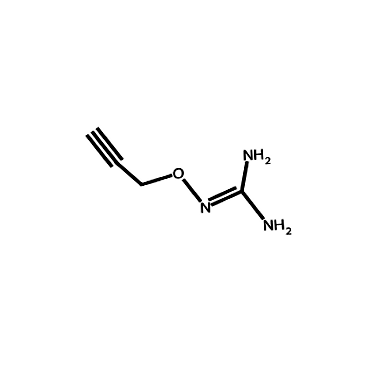 C#CCON=C(N)N